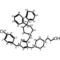 OCCN1CCN(Cc2cn(Cc3ccc(Cl)cc3)nc2CN2CCC(c3ccccc3)(c3ccccc3)CC2)CC1